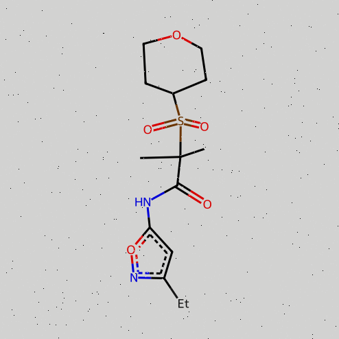 CCc1cc(NC(=O)C(C)(C)S(=O)(=O)C2CCOCC2)on1